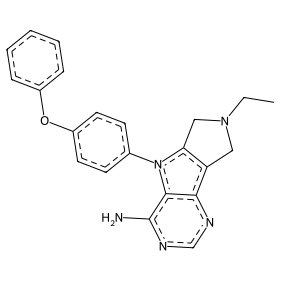 CCN1Cc2c(n(-c3ccc(Oc4ccccc4)cc3)c3c(N)ncnc23)C1